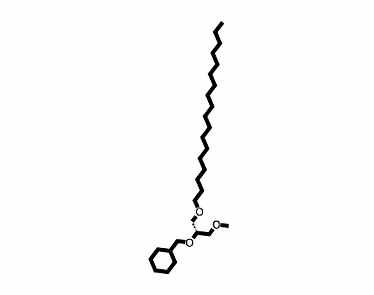 CCCCCCCCCCCCCCCCCCOC[C@H](COC)OCC1CCCCC1